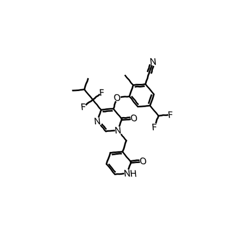 Cc1c(C#N)cc(C(F)F)cc1Oc1c(C(F)(F)C(C)C)ncn(Cc2ccc[nH]c2=O)c1=O